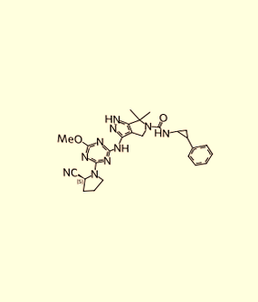 COc1nc(Nc2n[nH]c3c2CN(C(=O)NC2CC2c2ccccc2)C3(C)C)nc(N2CCC[C@H]2C#N)n1